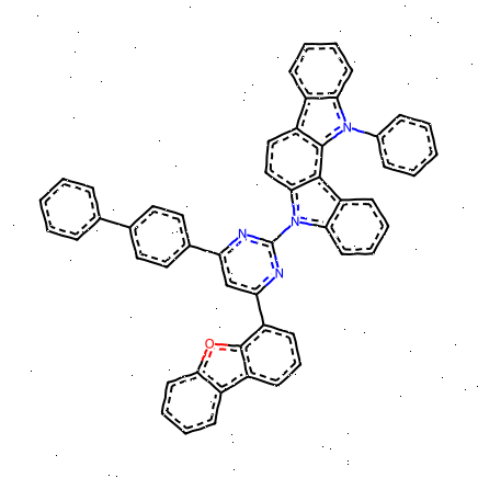 c1ccc(-c2ccc(-c3cc(-c4cccc5c4oc4ccccc45)nc(-n4c5ccccc5c5c4ccc4c6ccccc6n(-c6ccccc6)c45)n3)cc2)cc1